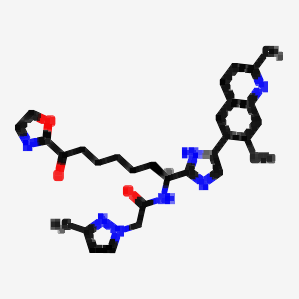 COc1cc2nc(C)ccc2cc1-c1cnc([C@H](CCCCCC(=O)c2ncco2)NC(=O)Cn2ccc(C)n2)[nH]1